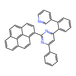 c1ccc(-c2cc(-c3ccccc3-c3cccnc3)nc(-c3ccc4ccc5cccc6ccc3c4c56)n2)cc1